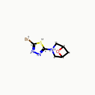 Brc1nnc(N2CC3CC(C2)O3)s1